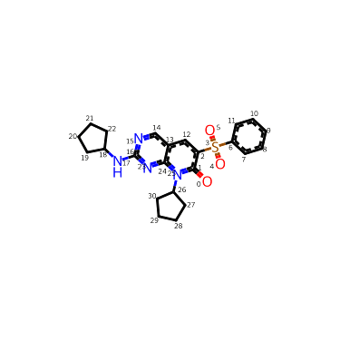 O=c1c(S(=O)(=O)c2ccccc2)cc2cnc(NC3CCCC3)nc2n1C1CCCC1